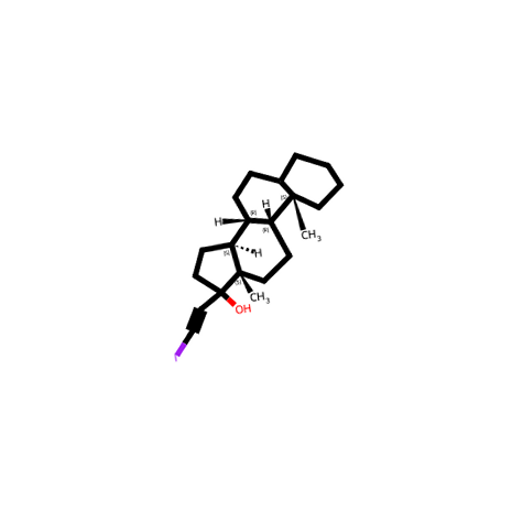 C[C@]12CCCCC1CC[C@@H]1[C@H]2CC[C@@]2(C)[C@H]1CCC2(O)C#CI